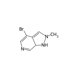 CN1C=C2C(Br)=CN=CC2N1